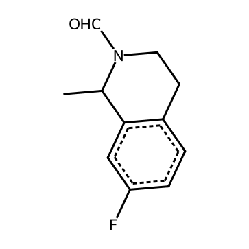 CC1c2cc(F)ccc2CCN1C=O